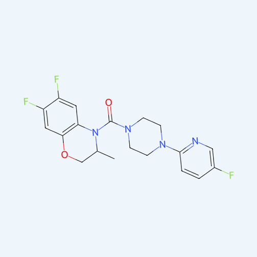 CC1COc2cc(F)c(F)cc2N1C(=O)N1CCN(c2ccc(F)cn2)CC1